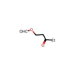 [CH2-][CH+]C(=O)CCOC=O